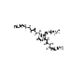 CCCCCCCCCCCCCCCCN1C=CN(CCCCCCCCCCCCCC)C1CCCCCCC